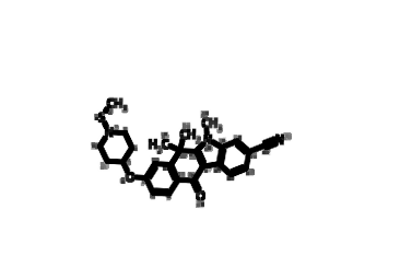 CSN1CCC(Oc2ccc3c(c2)C(C)(C)c2c(c4ccc(C#N)cc4n2C)C3=O)CC1